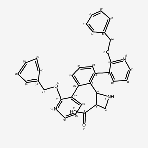 O=C(O)C1CNC1c1c(-c2cccnc2OCc2ccccc2)cccc1-c1cccnc1OCc1ccccc1